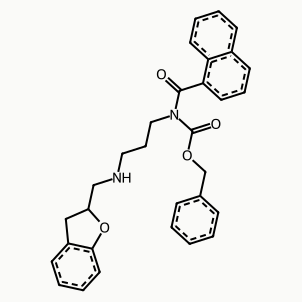 O=C(OCc1ccccc1)N(CCCNCC1Cc2ccccc2O1)C(=O)c1cccc2ccccc12